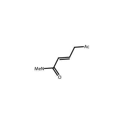 CNC(=O)/C=C/CC(C)=O